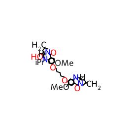 C=C1C[C@H]2C=Nc3cc(OCCCCCOc4cc5c(cc4OC)C(=O)N4CC(=C)C[C@H]4[C@H](O)N5C(C)C)c(OC)cc3C(=O)N2C1